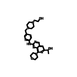 CC(O)c1cc2cnc(Nc3ccc(CN4CCN(CCO)CC4)cn3)nc2c(N2CCOCC2)n1